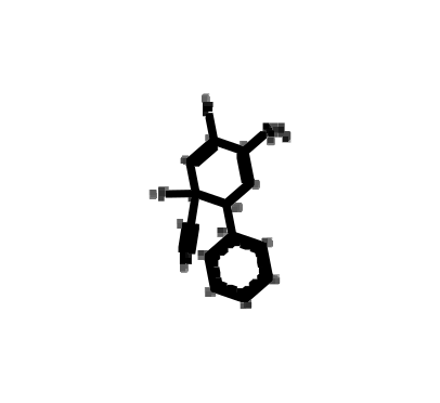 N#CC1(F)C=C(F)C(N)=CC1c1ccccc1